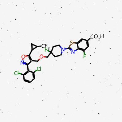 O=C(O)c1cc(F)c2nc(N3CCC(F)(COCc4c(-c5c(Cl)cccc5Cl)noc4C4CC4C(F)(F)F)CC3)sc2c1